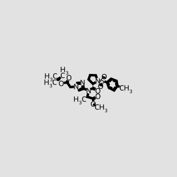 COC(=O)[C@H](C)N(C(=O)[C@@H]1CCCN1S(=O)(=O)c1ccc(C)cc1)c1cn(CC(=O)OC(C)(C)C)cn1